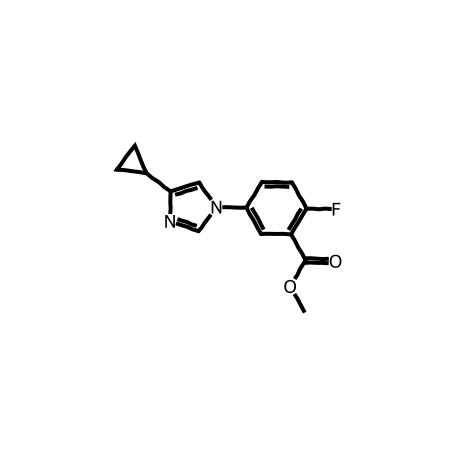 COC(=O)c1cc(-n2cnc(C3CC3)c2)ccc1F